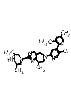 Cc1cnc(-c2cc(N3Cc4cnc(N5CC(C)NC(C)C5)nc4C(C)C3)ncc2Cl)c(C)c1